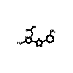 Cc1cccc(-c2nnc(-c3cc(C)nn3CC(=O)O)s2)c1